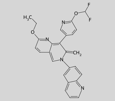 C=C1C(c2ccc(OC(F)F)nc2)=c2nc(OCC)ccc2=CN1c1ccc2ncccc2c1